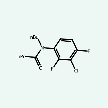 CCCCN(C(=O)CCC)c1ccc(F)c(Cl)c1F